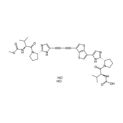 COC(=O)N[C@H](C(=O)N1CCC[C@H]1c1ncc(C#CC#Cc2csc3c(-c4cnc([C@@H]5CCCN5C(=O)[C@@H](NC(=O)O)C(C)C)[nH]4)csc23)[nH]1)C(C)C.Cl.Cl